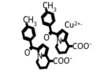 Cc1ccc(C(=O)c2ccc3n2CCCC3C(=O)[O-])cc1.Cc1ccc(C(=O)c2ccc3n2CCCC3C(=O)[O-])cc1.[Cu+2]